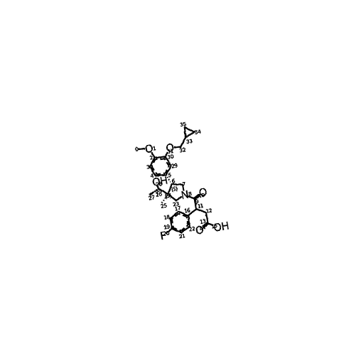 COc1ccc([C@@H]2CN(C(=O)C(CC(=O)O)c3ccc(F)cc3)C[C@@]2(C)[C@@H](C)O)cc1OCC1CC1